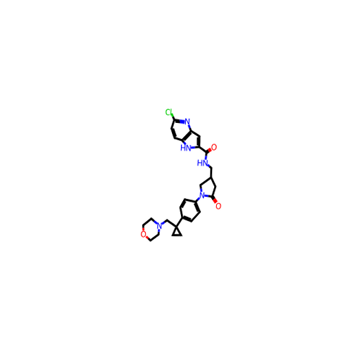 O=C(NCC1CC(=O)N(c2ccc(C3(CN4CCOCC4)CC3)cc2)C1)c1cc2nc(Cl)ccc2[nH]1